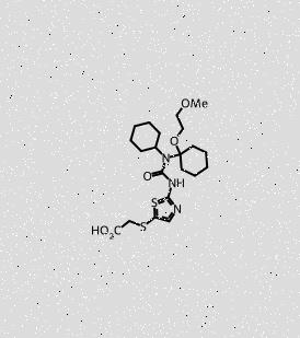 COCCOC1(N(C(=O)Nc2ncc(SCC(=O)O)s2)C2CCCCC2)CCCCC1